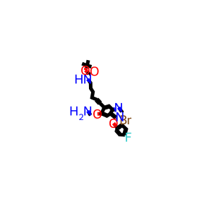 CN.COc1cc2c(Oc3ccc(F)cc3Br)ncnc2cc1C#CCCCCNC(=O)OC(C)(C)C